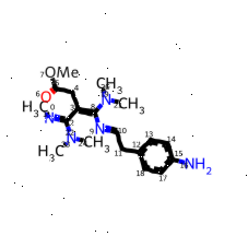 C\N=C(/C(CC(=O)OC)=C(\N=C\Cc1ccc(N)cc1)N(C)C)N(C)C